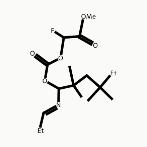 CC/C=N/C(OC(=O)OC(F)C(=O)OC)C(C)(C)CC(C)(C)CC